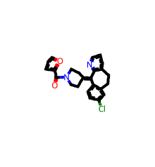 O=C(c1ccco1)N1CCC(=C2c3ccc(Cl)cc3CCc3cccnc32)CC1